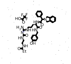 CCC(=O)NCCNC(=O)/N=C(/N)NCCC[C@@H](NC(=O)C(c1ccccc1)N1Cc2ccccc2C1)C(=O)NCc1ccc(O)cc1.O=C(O)C(F)(F)F